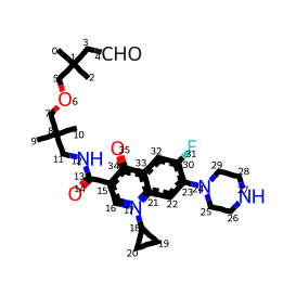 CC(C)(CC=O)COCC(C)(C)CNC(=O)c1cn(C2CC2)c2cc(N3CCNCC3)c(F)cc2c1=O